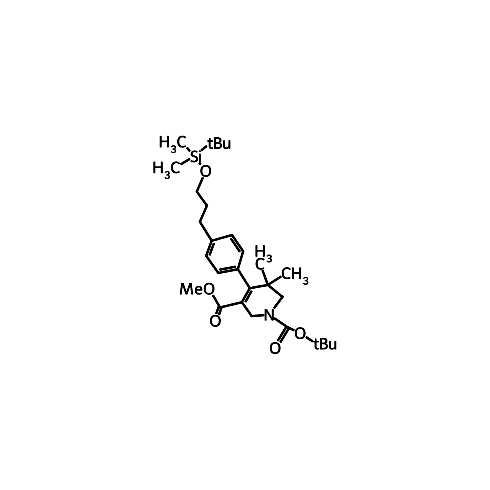 COC(=O)C1=C(c2ccc(CCCO[Si](C)(C)C(C)(C)C)cc2)C(C)(C)CN(C(=O)OC(C)(C)C)C1